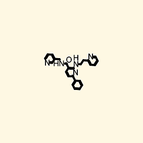 O=C(NCc1cccnc1)c1ccc(-c2ccccc2)nc1NCCc1ccccn1